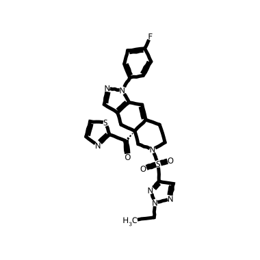 CCn1ncc(S(=O)(=O)N2CCC3=Cc4c(cnn4-c4ccc(F)cc4)C[C@]3(C(=O)c3nccs3)C2)n1